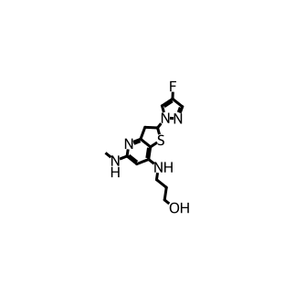 CNc1cc(NCCCO)c2c(n1)CC(n1cc(F)cn1)S2